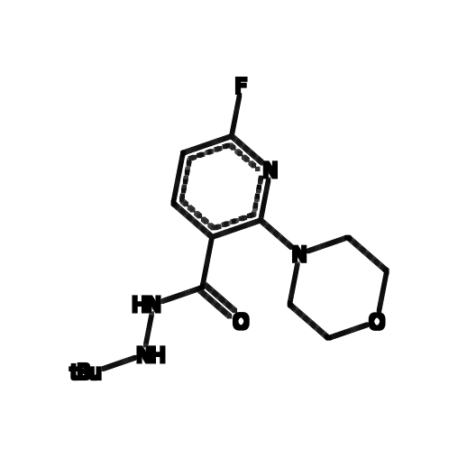 CC(C)(C)NNC(=O)c1ccc(F)nc1N1CCOCC1